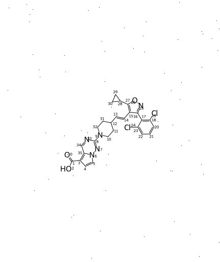 O=C(O)c1ccn2nc(N3CCC(C=Cc4c(-c5c(Cl)cccc5Cl)noc4C4CC4)CC3)ncc12